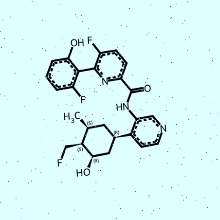 C[C@H]1C[C@@H](c2ccncc2NC(=O)c2ccc(F)c(-c3c(O)cccc3F)n2)C[C@@H](O)[C@H]1CF